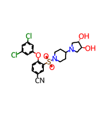 N#Cc1ccc(Oc2cc(Cl)cc(Cl)c2)c(S(=O)(=O)N2CCC(N3C[C@H](O)[C@@H](O)C3)CC2)c1